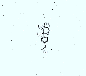 CCC(C)CSc1ccc(C2(C)OCCC(C)(C)O2)cc1